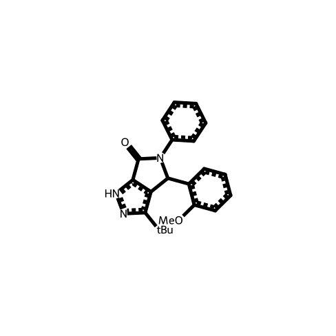 COc1ccccc1C1c2c(C(C)(C)C)n[nH]c2C(=O)N1c1ccccc1